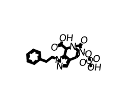 O=C(O)C1c2c(cnn2CCc2ccccc2)C2CN1C(=O)N2OS(=O)(=O)O